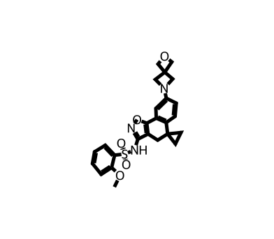 COc1ccccc1S(=O)(=O)Nc1noc2c1CC1(CC1)c1ccc(N3CC4(COC4)C3)cc1-2